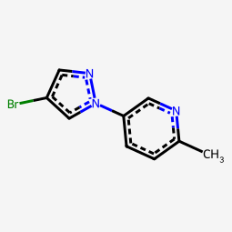 Cc1ccc(-n2cc(Br)cn2)cn1